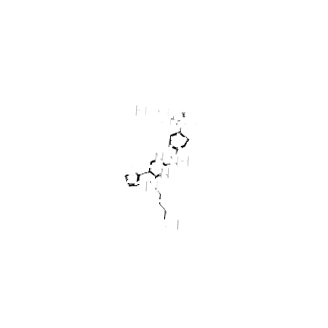 CCOC(=O)N=S(C)(=O)c1ccc(Nc2ncc(-c3cccs3)c(NCCCCO)n2)cc1